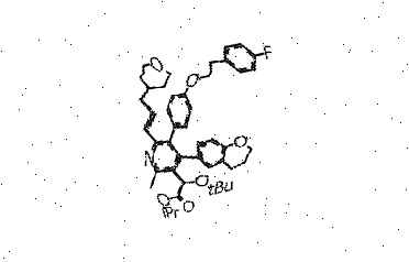 Cc1nc(C=CCC2CCOCC2)c(-c2ccc(OCCc3ccc(F)cc3)cc2)c(-c2ccc3c(c2)CCCO3)c1C(OC(C)(C)C)C(=O)OC(C)C